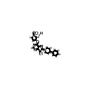 CCn1c(N2CCC(c3ccccc3)CC2)nc2c(O[C@H]3CCN(C(=O)O)C3)ncnc21